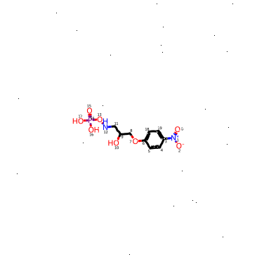 O=[N+]([O-])c1ccc(OCC(O)CNOP(=O)(O)O)cc1